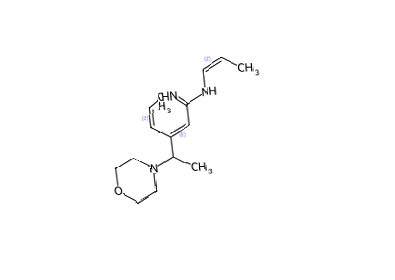 C/C=C\NC(=N)/C=C(\C=C/C)C(C)N1CCOCC1